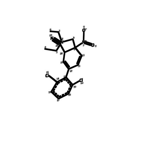 CCN(CC)CC1([N+](=O)[O-])C=CC(c2c(Cl)cccc2Cl)=CC1C#N